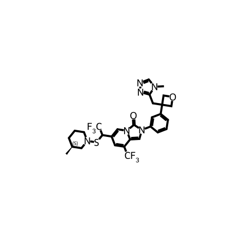 C[C@H]1CCCN(SC(c2cc(C(F)(F)F)c3cn(-c4cccc(C5(Cc6nncn6C)COC5)c4)c(=O)n3c2)C(F)(F)F)C1